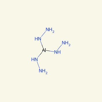 N[NH][Al]([NH]N)[NH]N